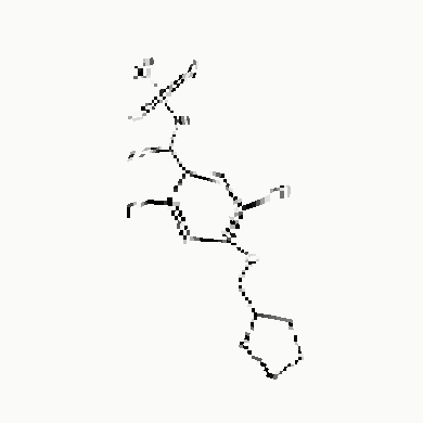 CC[C@@H](C)S(=O)(=O)NC(=O)c1cc(Cl)c(OCC2CCCC2)cc1F